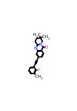 Cc1cccc(C#Cc2ccc3c(=O)n4c(nc3c2)CCC(C)(C)C4)c1F